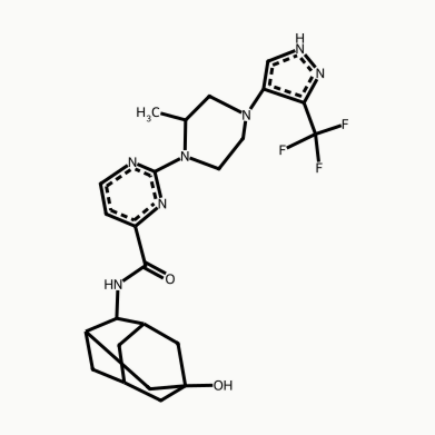 CC1CN(c2c[nH]nc2C(F)(F)F)CCN1c1nccc(C(=O)NC2C3CC4CC2CC(O)(C4)C3)n1